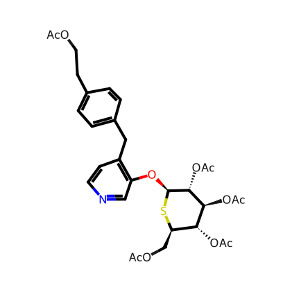 CC(=O)OCCc1ccc(Cc2ccncc2O[C@@H]2S[C@H](COC(C)=O)[C@@H](OC(C)=O)[C@H](OC(C)=O)[C@H]2OC(C)=O)cc1